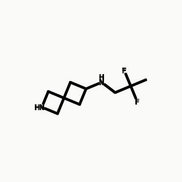 CC(F)(F)CNC1CC2(CNC2)C1